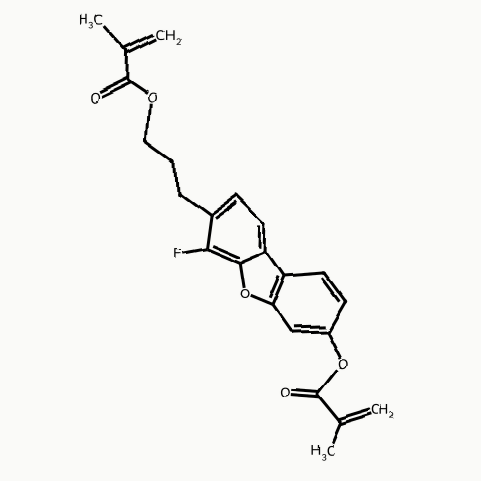 C=C(C)C(=O)OCCCc1ccc2c(oc3cc(OC(=O)C(=C)C)ccc32)c1F